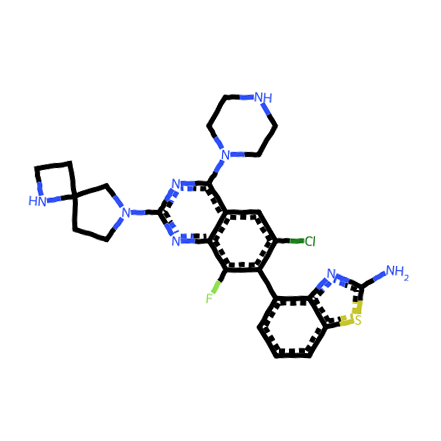 Nc1nc2c(-c3c(Cl)cc4c(N5CCNCC5)nc(N5CCC6(CCN6)C5)nc4c3F)cccc2s1